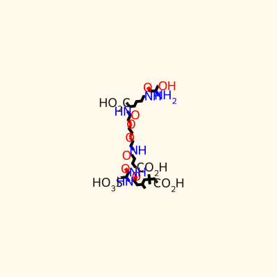 CC(CC(=O)NC(CS(=O)(=O)O)C(=O)NC(CCC(=O)NCCOCCOCC(=O)NC(CCCCNC(=O)C(N)CO)C(=O)O)C(=O)O)CC(C)(C)CC(=O)O